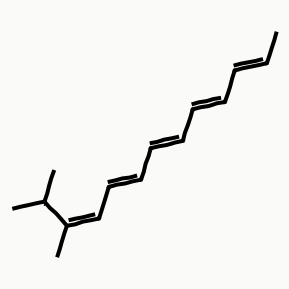 CC=CC=CC=CC=CC=C(C)[C](C)C